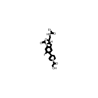 CCC(=O)NCC1OC(=O)N2c3cc(F)c(C4=CCN(C(=O)CO)CC4)cc3C[C@@H]12